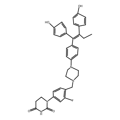 CCC(=C(c1ccc(O)cc1)c1ccc(N2CCN(Cc3ccc(N4CCC(=O)NC4=O)cc3F)CC2)cc1)c1ccc(O)cc1